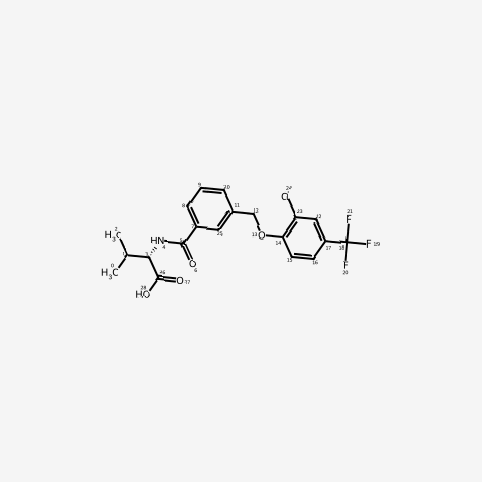 CC(C)[C@H](NC(=O)c1cccc(COc2ccc(C(F)(F)F)cc2Cl)c1)C(=O)O